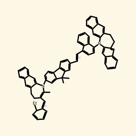 CCC1C=CC=C/C1=C/C1=C(C)N(c2ccc3c(c2)C(C)(C)c2cc(/C=C/c4ccc(N5c6cc7ccccc7cc6CCc6cc7ccccc7cc65)c5ccccc45)ccc2-3)c2cc3ccccc3cc2CC1